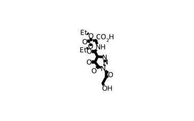 CCOP(=O)(OCC)C(NC(=O)C1N=NN(C2OC2CO)C(=O)C1=O)C(=O)O